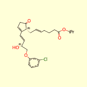 CC(C)OC(=O)CCCC=CC[C@H]1C(=O)CC=C1C=C[C@@H](O)COc1cccc(Cl)c1